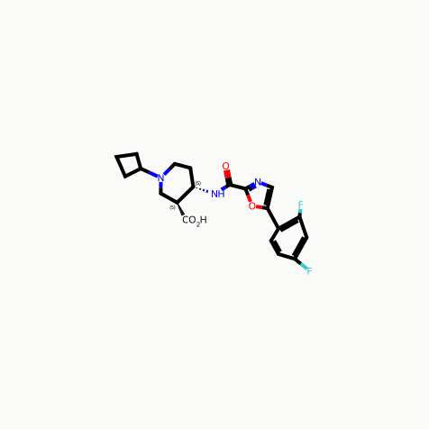 O=C(N[C@H]1CCN(C2CCC2)C[C@@H]1C(=O)O)c1ncc(-c2ccc(F)cc2F)o1